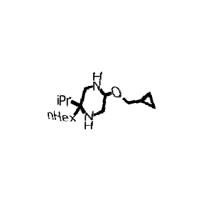 CCCCCCC1(C(C)C)CNC(OCC2CC2)CN1